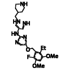 CCc1c(OC)cc(OC)c(F)c1COc1cnc(N/C(C=N)=C/NCC2CCNCC2)nc1